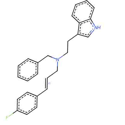 Fc1ccc(/C=C/CN(CCc2c[nH]c3ccccc23)Cc2ccccc2)cc1